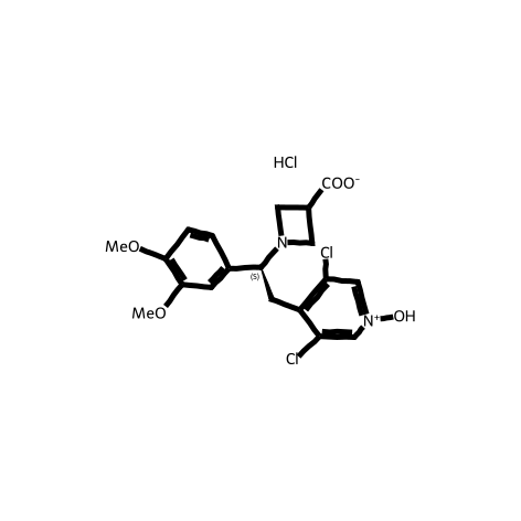 COc1ccc([C@H](Cc2c(Cl)c[n+](O)cc2Cl)N2CC(C(=O)[O-])C2)cc1OC.Cl